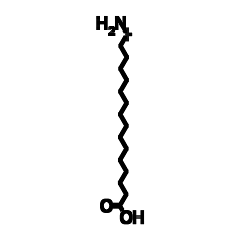 N[I]CCCCCCCCCCCCCCC(=O)O